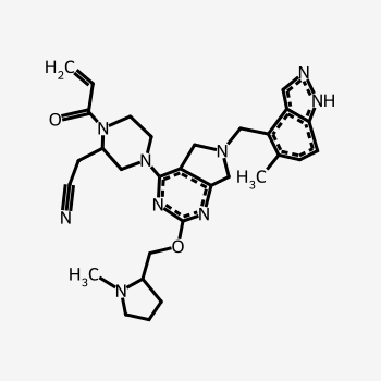 C=CC(=O)N1CCN(c2nc(OCC3CCCN3C)nc3c2CN(Cc2c(C)ccc4[nH]ncc24)C3)CC1CC#N